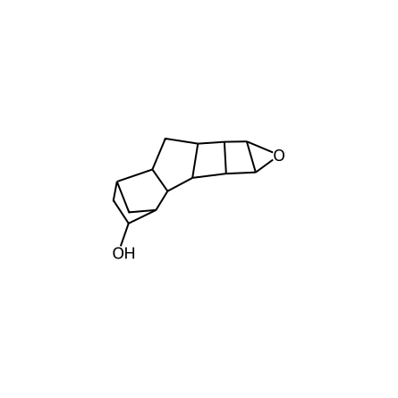 OC1CC2CC1C1C2CC2C3C4OC4C3C21